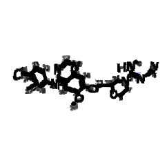 CN/C(=N\C#N)N1CCOC(COc2cc3ncnc(Nc4ccc(Cl)c(C)c4)c3cc2OC)C1